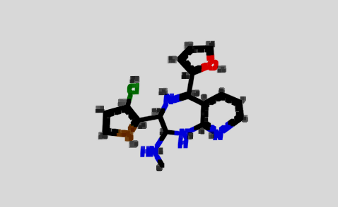 CNC1Nc2ncccc2C(c2ccco2)=NC1c1sccc1Cl